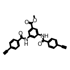 C#Cc1ccc(C(=O)Nc2cc(NC(=O)c3ccc(C#C)cc3)cc(C(=O)OC)c2)cc1